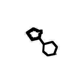 [CH]1CCC(c2cccs2)CC1